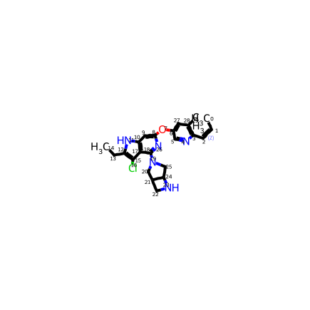 C/C=C\c1ncc(Oc2cc3[nH]c(CC)c(Cl)c3c(N3CC4CNC4C3)n2)cc1C